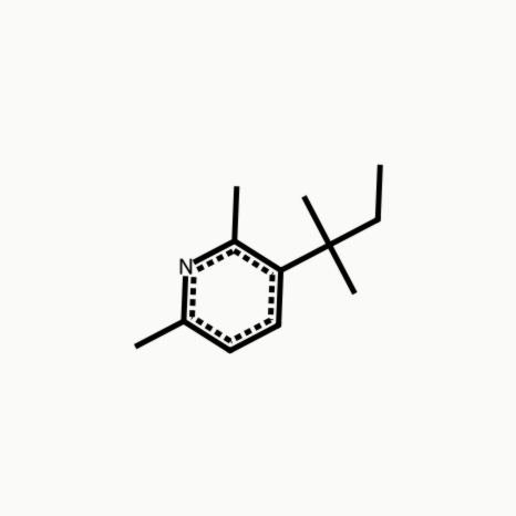 CCC(C)(C)c1ccc(C)nc1C